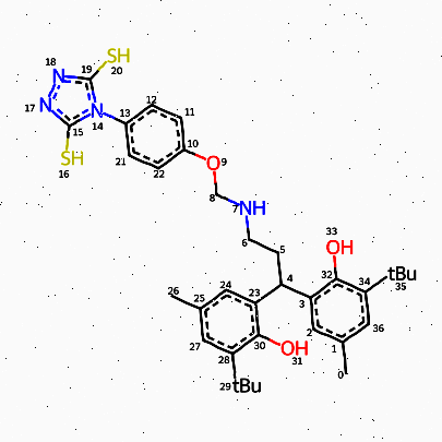 Cc1cc(C(CCNCOc2ccc(-n3c(S)nnc3S)cc2)c2cc(C)cc(C(C)(C)C)c2O)c(O)c(C(C)(C)C)c1